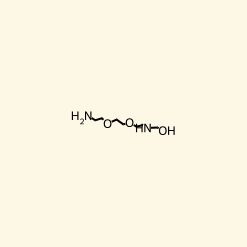 NCCOCCOCCNCO